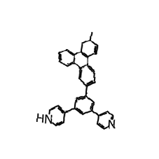 CC1C=Cc2c(c3ccccc3c3cc(-c4cc(C5=CCNC=C5)cc(-c5ccncc5)c4)ccc23)C1